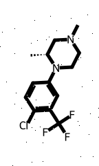 C[C@@H]1CN(C)CCN1c1ccc(Cl)c(C(F)(F)F)c1